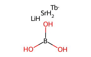 OB(O)O.[LiH].[SrH2].[Tb]